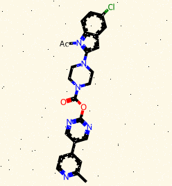 CC(=O)n1c(N2CCN(C(=O)Oc3ncc(-c4ccnc(C)c4)cn3)CC2)cc2cc(Cl)ccc21